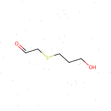 O=CCSCCCO